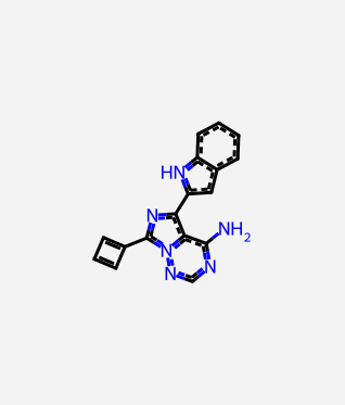 Nc1ncnn2c(C3=CC=C3)nc(-c3cc4ccccc4[nH]3)c12